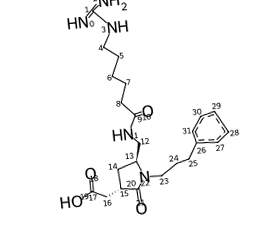 N=C(N)NCCCCCC(=O)NC[C@@H]1C[C@@H](CC(=O)O)C(=O)N1CCCc1ccccc1